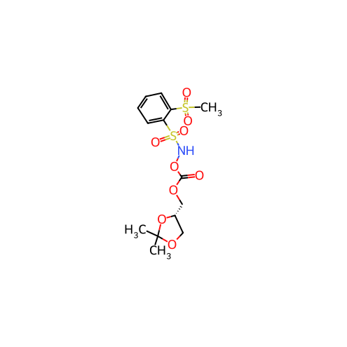 CC1(C)OC[C@@H](COC(=O)ONS(=O)(=O)c2ccccc2S(C)(=O)=O)O1